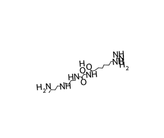 C[C@@H](N)CCNCCCCNC(=O)[C@@H](O)NC(=O)CCCCCCNC(=N)N